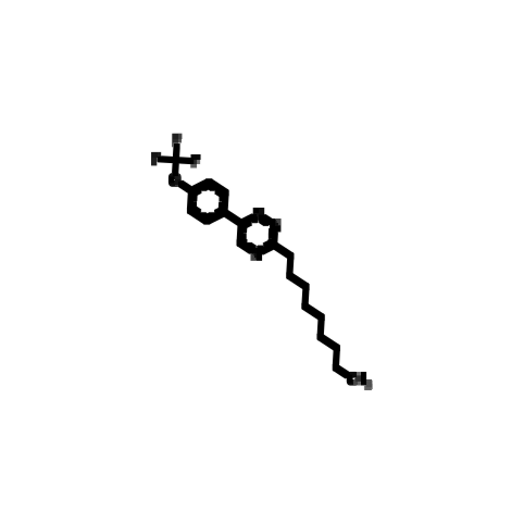 CCCCCCCCCc1ncc(-c2ccc(OC(F)(F)F)cc2)nn1